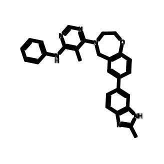 Cc1nc2ccc(-c3ccc4c(c3)CN(c3ncnc(Nc5ccccc5)c3C)CCO4)cc2[nH]1